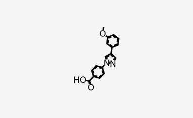 COc1cccc(-c2cnn(-c3ccc(C(=O)O)cc3)c2)c1